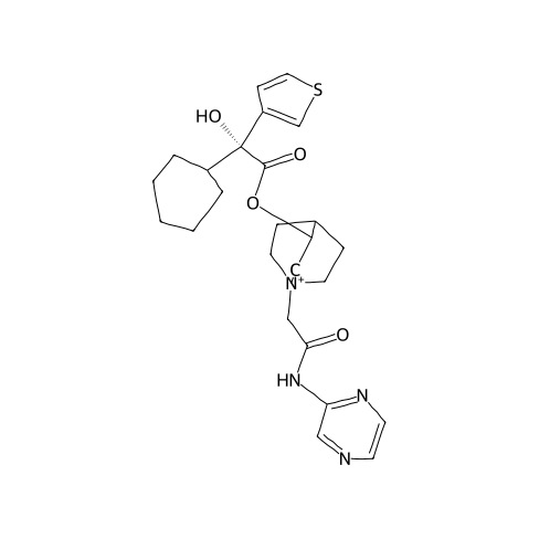 O=C(C[N+]12CCC(CC1)C(OC(=O)[C@](O)(c1ccsc1)C1CCCCC1)C2)Nc1cnccn1